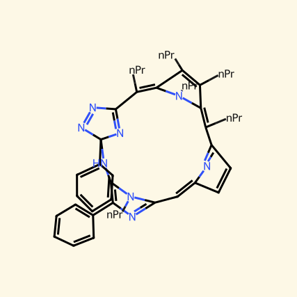 CCCC1=c2c(CCC)c(CCC)c(n2CCC)=C(CCC)C2=NC(c3ccccc3)(N=N2)Nc2c(-c3ccccc3)nc(n2CCC)C=C2C=CC1=N2